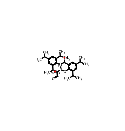 CC(C)c1cc(C(C)C)c(ON(Oc2c(C(C)C)cc(C(C)C)cc2C(C)C)[C@@H](C)[C]=O)c(C(C)C)c1